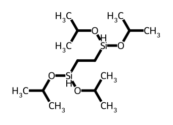 CC(C)O[SiH](CC[SiH](OC(C)C)OC(C)C)OC(C)C